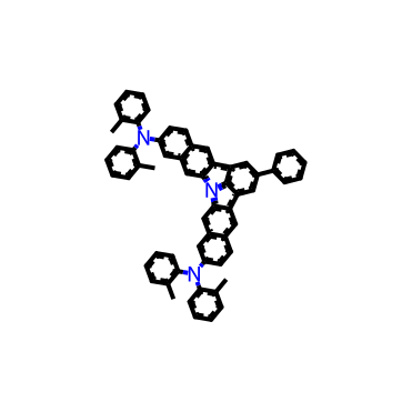 Cc1ccccc1N(c1ccc2cc3c4cc(-c5ccccc5)cc5c6cc7ccc(N(c8ccccc8C)c8ccccc8C)cc7cc6n(c3cc2c1)c45)c1ccccc1C